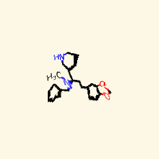 CN(Cc1ccccc1)C(CCc1ccc2c(c1)OCO2)C1CCCNC1